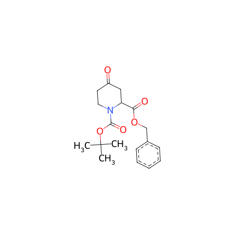 CC(C)(C)OC(=O)N1CCC(=O)CC1C(=O)OCc1ccccc1